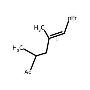 CCC/C=C(\C)CC(C)C(C)=O